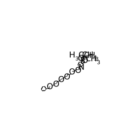 CC1(C)OB(c2ccc(OCCOCCOCCOCCOCCOCc3ccccc3)nc2)OC1(C)C